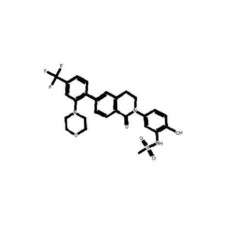 CS(=O)(=O)Nc1cc(N2CCc3cc(-c4ccc(C(F)(F)F)cc4N4CCOCC4)ccc3C2=O)ccc1O